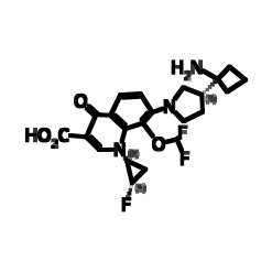 NC1([C@@H]2CCN(c3ccc4c(=O)c(C(=O)O)cn([C@@H]5C[C@@H]5F)c4c3OC(F)F)C2)CCC1